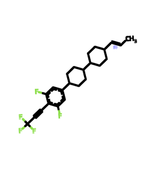 C/C=C/C1CCC(C2CCC(c3cc(F)c(C#CC(F)(F)F)c(F)c3)CC2)CC1